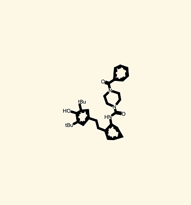 CC(C)(C)c1cc(CCc2ccccc2NC(=O)N2CCN(C(=O)c3ccccc3)CC2)cc(C(C)(C)C)c1O